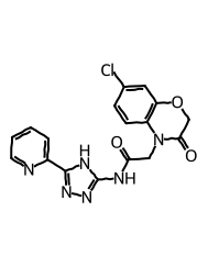 O=C(CN1C(=O)COc2cc(Cl)ccc21)Nc1nnc(-c2ccccn2)[nH]1